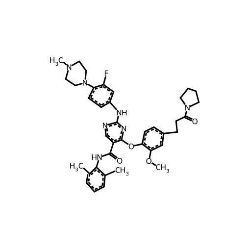 COc1cc(CCC(=O)N2CCCC2)ccc1Oc1nc(Nc2ccc(N3CCN(C)CC3)c(F)c2)ncc1C(=O)Nc1c(C)cccc1C